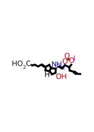 CC#CCC(C)[C@@H](/C=C/[C@H]1[C@H](O)C[C@@H]2C/C(=C\CCCC(=O)O)C[C@@]21N)OC(=O)OI